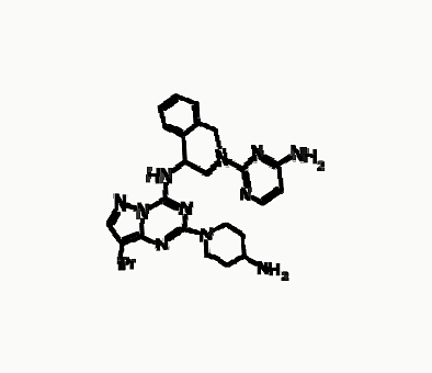 CC(C)c1cnn2c(NC3CN(c4nccc(N)n4)Cc4ccccc43)nc(N3CCC(N)CC3)nc12